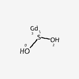 OSO.[Gd]